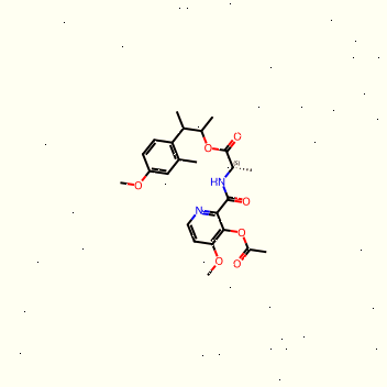 COc1ccc(C(C)C(C)OC(=O)[C@H](C)NC(=O)c2nccc(OC)c2OC(C)=O)c(C)c1